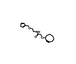 O=C(COC1C#CCCCCC1)NCCOCC1=CCC=C1